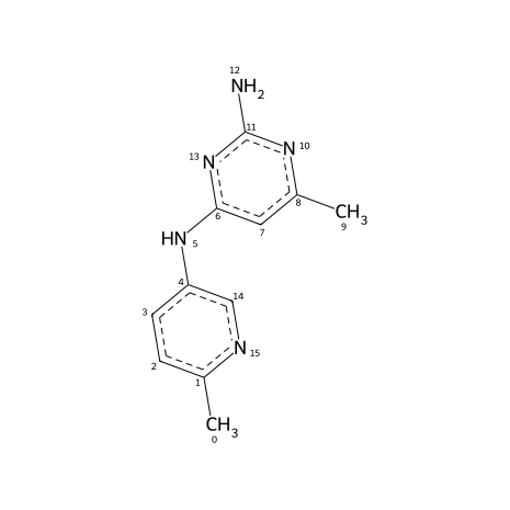 Cc1ccc(Nc2cc(C)nc(N)n2)cn1